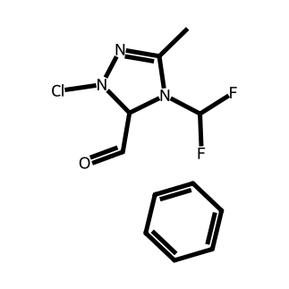 CC1=NN(Cl)C(C=O)N1C(F)F.c1ccccc1